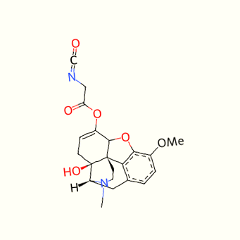 COc1ccc2c3c1OC1C(OC(=O)CN=C=O)=CC[C@@]4(O)[C@@H](C2)N(C)CC[C@]314